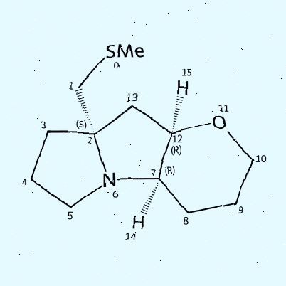 CSC[C@@]12CCCN1[C@@H]1CCCO[C@@H]1C2